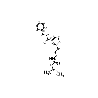 CCC(C)CC(=O)NCCCC1=NC(C(=O)CCc2ccccc2)=CCC1